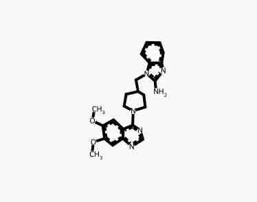 COc1cc2ncnc(N3CCC(Cn4c(N)nc5ccccc54)CC3)c2cc1OC